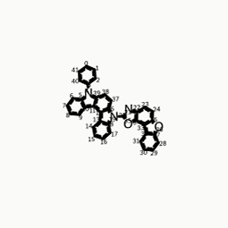 c1ccc(-n2c3ccccc3c3c4c5ccccc5n(-c5nc6ccc7oc8ccccc8c7c6o5)c4ccc32)cc1